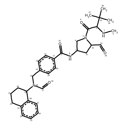 CNC(C(=O)N1CC(NC(=O)c2ccc(CN(C=O)C3CCCc4ccccc43)cc2)CC1C=O)C(C)(C)C